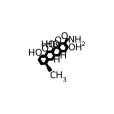 CC#Cc1ccc(O)c2c1C[C@H]1C[C@H]3CC(O)=C(C(N)=O)C(=O)[C@@]3(O)C(O)=C1C2=O